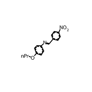 CCCOc1ccc(N=Cc2ccc([N+](=O)[O-])cc2)cc1